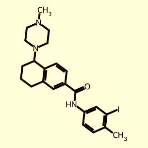 Cc1ccc(NC(=O)c2ccc3c(c2)CCCC3N2CCN(C)CC2)cc1I